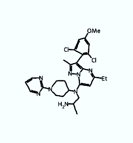 CCc1cc(N(CC(C)N)C2CCN(c3ncccn3)CC2)n2nc(C)c(-c3c(Cl)cc(OC)cc3Cl)c2n1